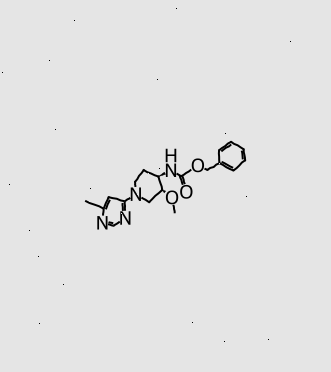 CO[C@H]1CN(c2cc(C)ncn2)CC[C@H]1NC(=O)OCc1ccccc1